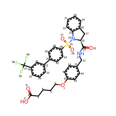 O=C(O)CCCCOc1ccc(CNC(=O)[C@@H]2Cc3ccccc3N2S(=O)(=O)c2ccc(-c3cccc(C(F)(F)F)c3)cc2)cc1